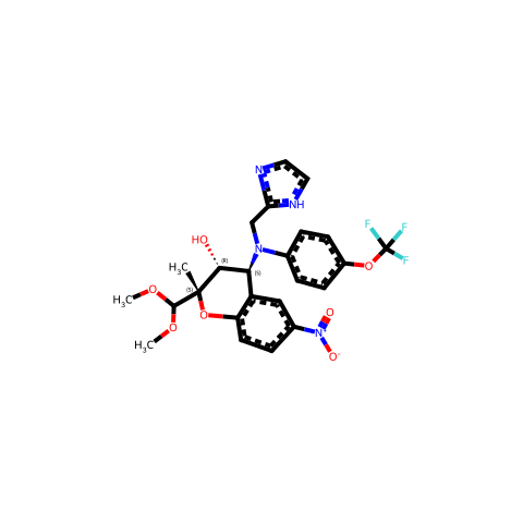 COC(OC)[C@@]1(C)Oc2ccc([N+](=O)[O-])cc2[C@H](N(Cc2ncc[nH]2)c2ccc(OC(F)(F)F)cc2)[C@H]1O